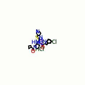 CN1CCc2nc(C(=O)NC3CN(C(=O)C4CCC4)CCC3NC(=O)c3cc4cc(Cl)ccc4[nH]3)sc2C1.Cl